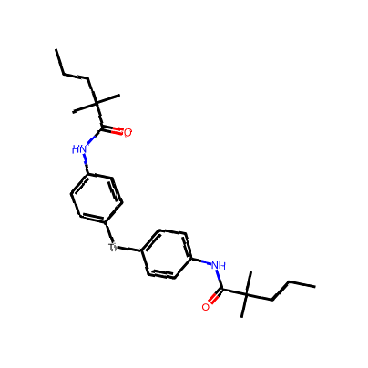 CCCC(C)(C)C(=O)Nc1cc[c]([Ti][c]2ccc(NC(=O)C(C)(C)CCC)cc2)cc1